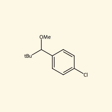 COC(c1ccc(Cl)cc1)C(C)(C)C